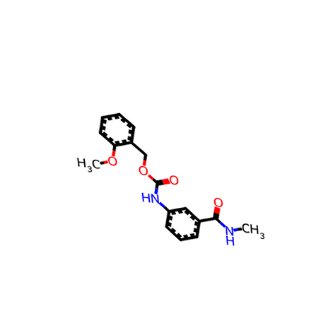 CNC(=O)c1cccc(NC(=O)OCc2ccccc2OC)c1